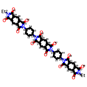 CCn1c(=O)c2cc3c(=O)n(-c4ccc(-n5c(=O)c6cc7c(=O)n(-c8ccc(-n9c(=O)c%10cc%11c(=O)n(CC)c(=O)c%11cc%10c9=O)cc8)c(=O)c7cc6c5=O)cc4)c(=O)c3cc2c1=O